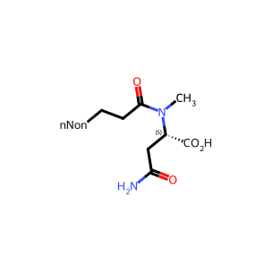 CCCCCCCCCCCC(=O)N(C)[C@@H](CC(N)=O)C(=O)O